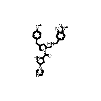 COc1ccc(CC2CC(CNCc3ccc4c(c3)nnn4C)N(C(=O)C3CC(n4ccnc4)CN3)C2)cc1